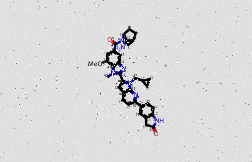 COc1cc(C(=O)N2CC3CCC2C3N)cc2nc(-c3cc4ccc(-c5ccc6c(c5)CC(=O)N6)nc4n3CC3CC3)n(C)c12